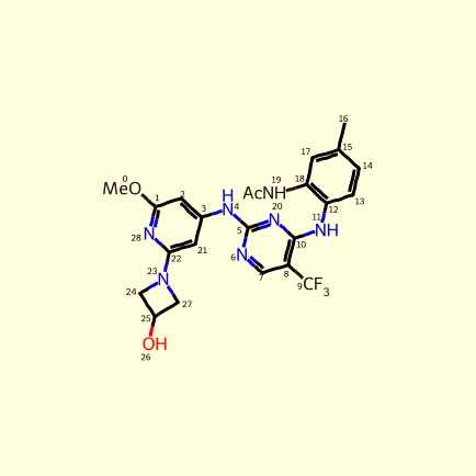 COc1cc(Nc2ncc(C(F)(F)F)c(Nc3ccc(C)cc3NC(C)=O)n2)cc(N2CC(O)C2)n1